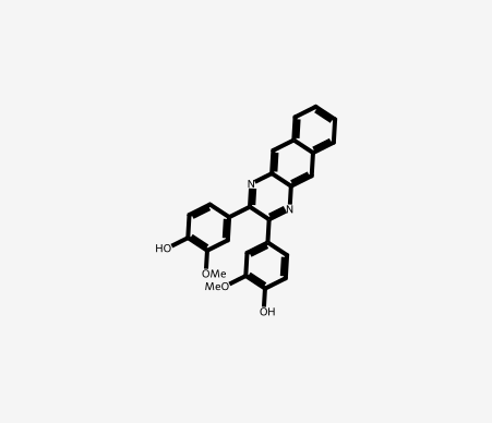 COc1cc(-c2nc3cc4ccccc4cc3nc2-c2ccc(O)c(OC)c2)ccc1O